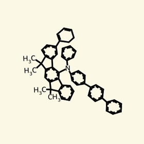 CC1(C)c2ccccc2-c2c1cc1c(c2N(c2ccccc2)c2ccc(-c3ccc(-c4ccccc4)cc3)cc2)-c2cc(C3=CC=CCC3)ccc2C1(C)C